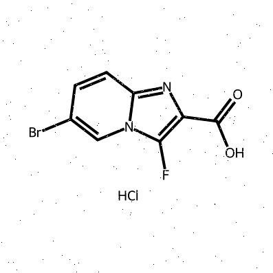 Cl.O=C(O)c1nc2ccc(Br)cn2c1F